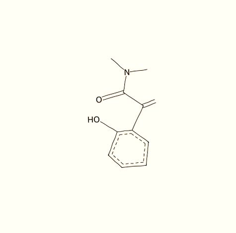 C=C(C(=O)N(C)C)c1ccccc1O